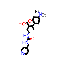 CCN(CC)c1ccc2c(c1)OC(O)C(CCNC(=O)NCc1ccncc1)=C2C